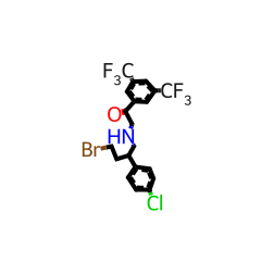 O=C(CNCC(CCBr)c1ccc(Cl)cc1)c1cc(C(F)(F)F)cc(C(F)(F)F)c1